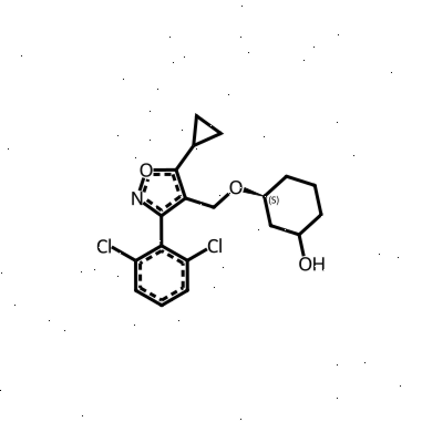 OC1CCC[C@H](OCc2c(-c3c(Cl)cccc3Cl)noc2C2CC2)C1